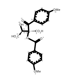 COc1ccc(C(=O)O[C@](C(=O)O)(C(=O)c2ccc(OC)cc2)[C@H](O)C(=O)O)cc1